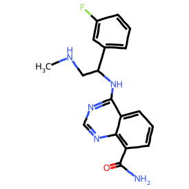 CNCC(Nc1ncnc2c(C(N)=O)cccc12)c1cccc(F)c1